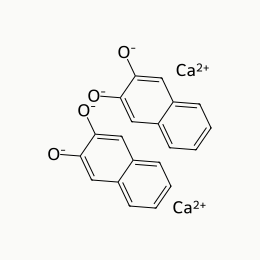 [Ca+2].[Ca+2].[O-]c1cc2ccccc2cc1[O-].[O-]c1cc2ccccc2cc1[O-]